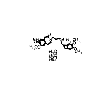 COc1cc2c(cc1OC)CC(=O)N(CCCN(C)C[C@H]1Cc3cc(OC)c(OC)cc31)CC2.Cl.O.O.O.O